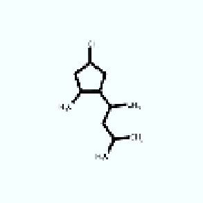 CC(C)CC(C)C1CC(C)CC1C